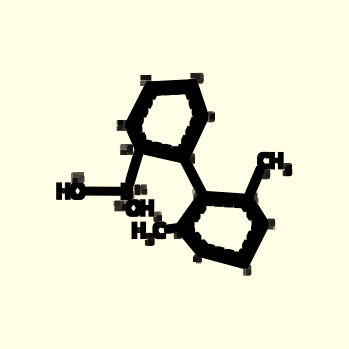 Cc1cccc(C)c1-c1ccccc1B(O)O